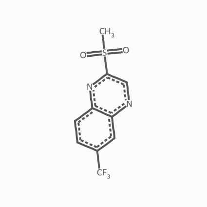 CS(=O)(=O)c1cnc2cc(C(F)(F)F)ccc2n1